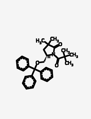 CC(C)(C)C(=O)N1C(=O)C(C)(C)C[C@H]1COC(c1ccccc1)(c1ccccc1)c1ccccc1